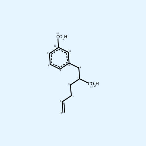 C=CCCC(Cc1cccc(C(=O)O)c1)C(=O)O